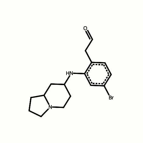 O=CCc1ccc(Br)cc1NC1CCN2CCCC2C1